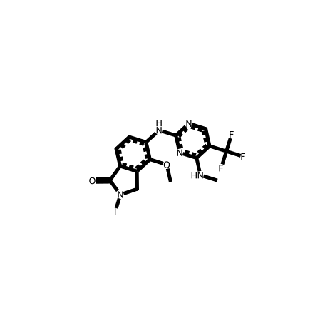 CNc1nc(Nc2ccc3c(c2OC)CN(I)C3=O)ncc1C(F)(F)F